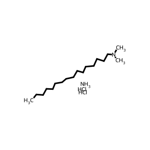 CCCCCCCCCCCCCCCCN(C)C.Cl.Cl.N